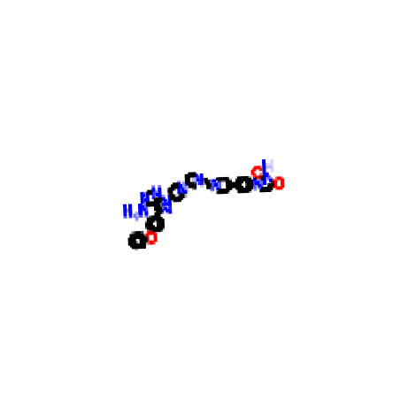 Nc1ncnc2c1c(-c1ccc(Oc3ccccc3)cc1)nn2C1CCN(C2CCN(CCN3CCC(c4ccc(-n5ccc(=O)[nH]c5=O)cc4)CC3)C2)CC1